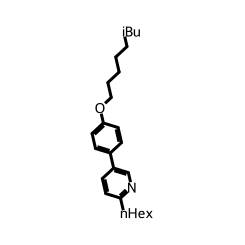 CCCCCCc1ccc(-c2ccc(OCCCCCC(C)CC)cc2)cn1